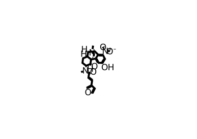 CN1CC[C@]23c4c5c([N+](=O)[O-])cc(O)c4O[C@H]2[C@@H](N(C)C(=O)/C=C/c2ccoc2)CC[C@H]3[C@H]1C5